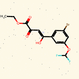 CCOC(=O)C(=O)/C=C(\O)c1cc(Br)cc(OC(F)F)c1